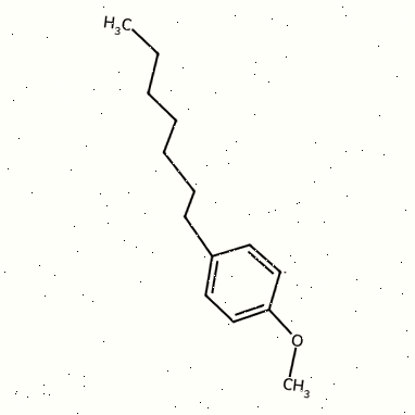 CCCCCCCc1c[c]c(OC)cc1